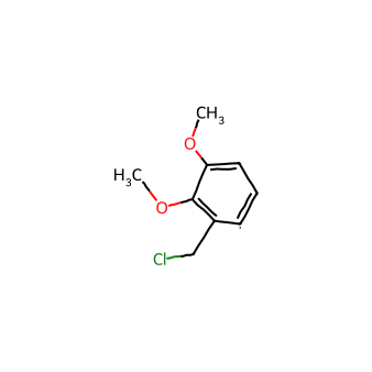 COc1cc[c]c(CCl)c1OC